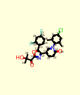 Cc1cc(Cl)cc(C)c1-n1cc(-c2nc(C(=O)C(C)(C)O)oc2-c2ccc(F)cc2F)ccc1=O